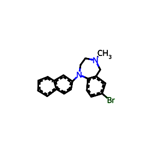 CN1CCN(c2ccc3ccccc3c2)c2ccc(Br)cc2C1